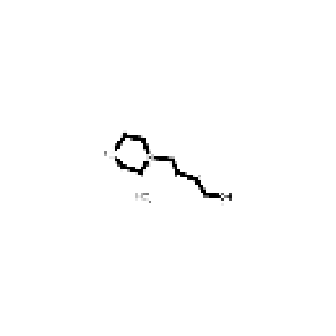 Cl.OCCCCN1CCOCC1